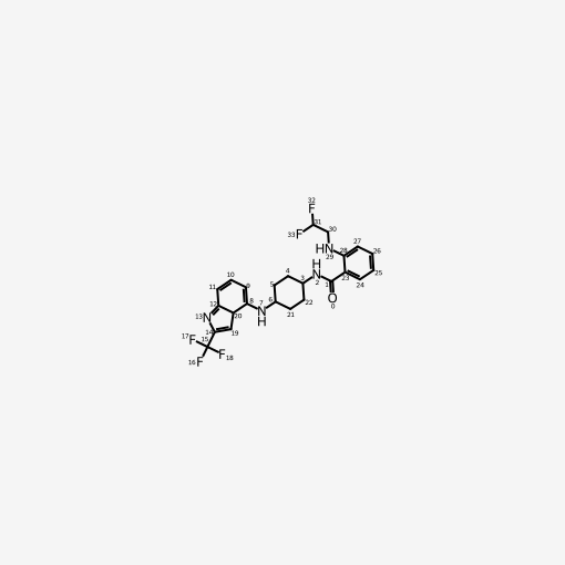 O=C(NC1CCC(NC2=CC=CC3=NC(C(F)(F)F)=CC23)CC1)c1ccccc1NCC(F)F